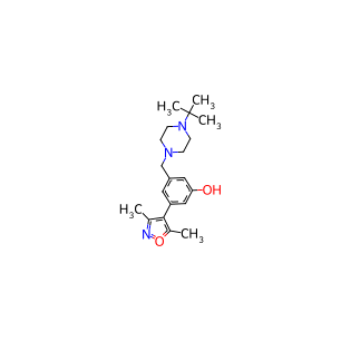 Cc1noc(C)c1-c1cc(O)cc(CN2CCN(C(C)(C)C)CC2)c1